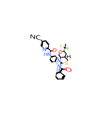 CC(F)(F)[C@H]1C[C@H]2CSC(NC(=O)c3ccccc3)=N[C@@]2(c2cc(NC(=O)c3ccc(C#N)cn3)ccc2F)CO1